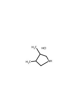 CC1CNCC1C.Cl